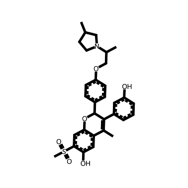 CC1=C(c2cccc(O)c2)C(c2ccc(OCC(C)N3CCC(C)C3)cc2)Oc2cc(S(C)(=O)=O)c(O)cc21